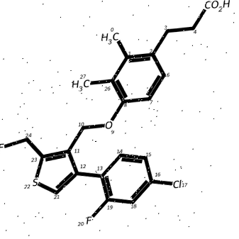 Cc1c(CCC(=O)O)ccc(OCc2c(-c3ccc(Cl)cc3F)csc2CF)c1C